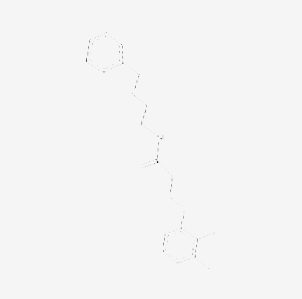 Cc1cccc(OSCC(=O)NCCNCc2ccccc2)c1C